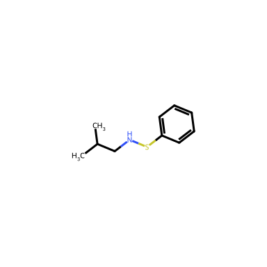 CC(C)CNSc1ccccc1